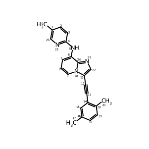 Cc1ccc(Nc2cccn3c(C#Cc4cc(C)ccc4C)cnc23)nc1